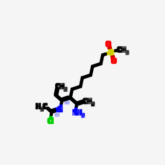 C=CC(/N=C(\C)Cl)=C(\CCCCCCCS(C)(=O)=O)C(=C)N